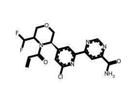 C=CC(=O)N1C(C(F)F)COC[C@H]1c1cc(Cl)nc(-c2cc(C(N)=O)ncn2)c1